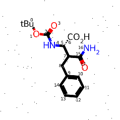 CC(C)(C)OC(=O)N[C@H](C(=O)O)C(Cc1ccccc1)C(N)=O